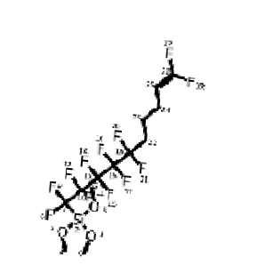 CO[Si](OC)(OC)C(F)(F)C(F)(F)C(F)(F)C(F)(F)C(F)(F)CCCC=C(F)F